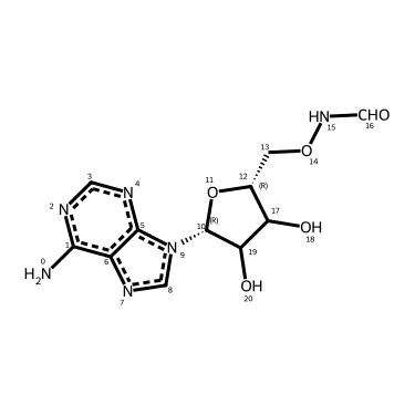 Nc1ncnc2c1ncn2[C@@H]1O[C@H](CONC=O)C(O)C1O